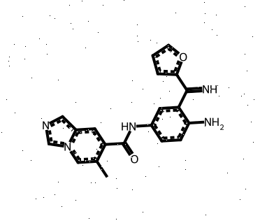 Cc1cn2cncc2cc1C(=O)Nc1ccc(N)c(C(=N)c2ccco2)c1